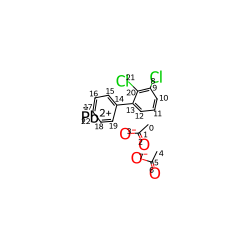 CC(=O)[O-].CC(=O)[O-].Clc1cccc(-c2ccccc2)c1Cl.[Pb+2]